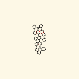 c1ccc(-c2ccccc2N(c2ccc(-c3c4ccccc4c(-c4ccc(N(c5ccccc5-c5ccccc5)c5ccccc5-c5ccccc5)cc4)c4c5ccccc5c5ccccc5c34)cc2)c2ccccc2-c2ccccc2)cc1